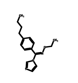 CCCCc1ccc(/C(=N\OCC)n2ccnc2)cc1